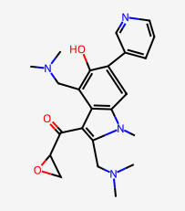 CN(C)Cc1c(O)c(-c2cccnc2)cc2c1c(C(=O)C1CO1)c(CN(C)C)n2C